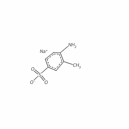 Cc1cc(S(=O)(=O)[O-])ccc1N.[Na+]